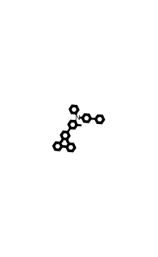 Cc1cc(-c2ccc3c4ccccc4c4ccccc4c3c2)ccc1N(c1ccccc1)c1ccc(-c2ccccc2)cc1